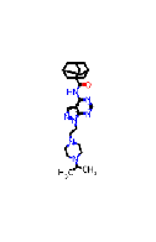 CC(C)N1CCN(CCn2ncc3c(NC(=O)C45CC6CC(CC(C6)C4)C5)ncnc32)CC1